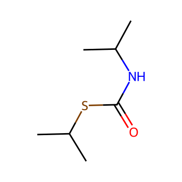 CC(C)NC(=O)SC(C)C